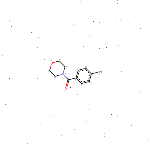 CC(C)c1ccc(C(=O)N2CCOCC2)cc1